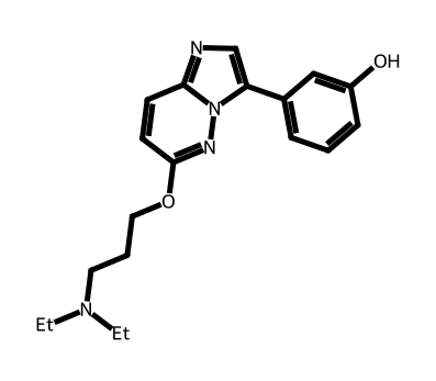 CCN(CC)CCCOc1ccc2ncc(-c3cccc(O)c3)n2n1